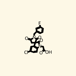 O=C(O)CN1C(=O)C2(CC(=O)N(Cc3cccc(F)c3)C2=O)c2cc(Cl)ccc21